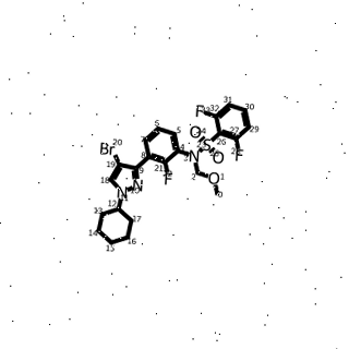 COCN(c1cccc(-c2nn(C3CCCCC3)cc2Br)c1F)S(=O)(=O)c1c(F)cccc1F